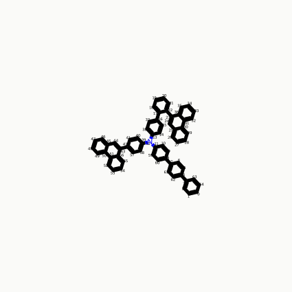 c1ccc(-c2ccc(-c3ccc(N(c4ccc(-c5ccccc5-c5cc6ccccc6c6ccccc56)cc4)c4ccc(-c5cc6ccccc6c6ccccc56)cc4)cc3)cc2)cc1